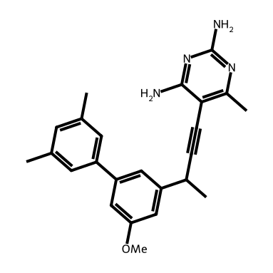 COc1cc(-c2cc(C)cc(C)c2)cc(C(C)C#Cc2c(C)nc(N)nc2N)c1